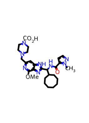 COc1nc(CN2CCN(C(=O)O)CC2)cc2[nH]c(C(NC(=O)c3ccnn3C)C3CCCCCCC3)nc12